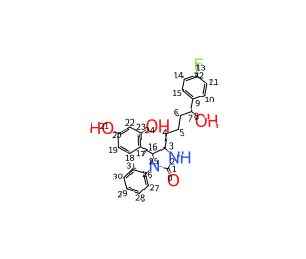 O=C1NC(CCCC(O)c2ccc(F)cc2)C(c2ccc(O)cc2O)N1c1ccccc1